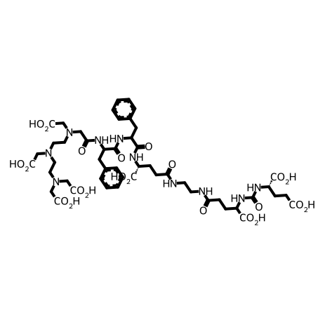 O=C(O)CC[C@H](NC(=O)NC(CCC(=O)NCCNC(=O)CC[C@@H](NC(=O)C(Cc1ccccc1)NC(=O)C(Cc1ccccc1)NC(=O)CN(CCN(CCN(CC(=O)O)CC(=O)O)CC(=O)O)CC(=O)O)C(=O)O)C(=O)O)C(=O)O